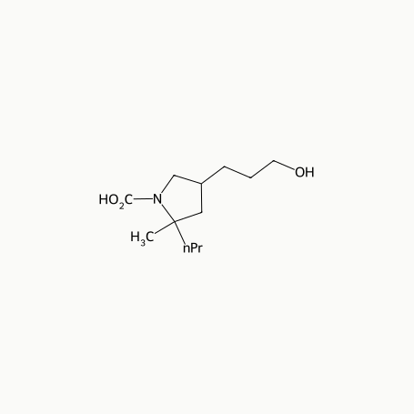 CCCC1(C)CC(CCCO)CN1C(=O)O